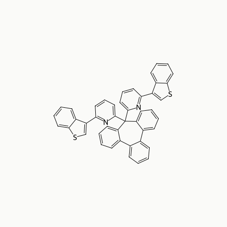 c1cc(-c2csc3ccccc23)nc(C2(c3cccc(-c4csc5ccccc45)n3)c3ccccc3-c3ccccc3-c3ccccc32)c1